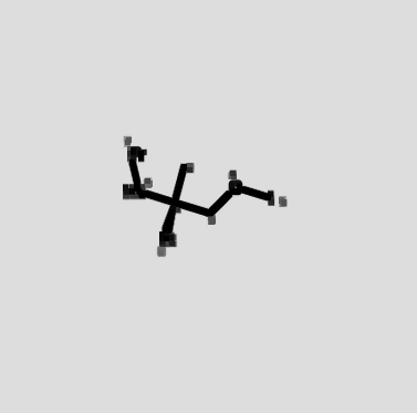 CC[C@@](C)(COI)NC(C)C